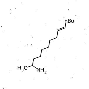 CCCCC=CCCCCCCC(C)N